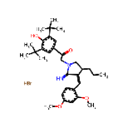 Br.CCCC1CN(CC(=O)c2cc(C(C)(C)C)c(O)c(C(C)(C)C)c2)C(=N)C1=Cc1ccc(OC)cc1OC